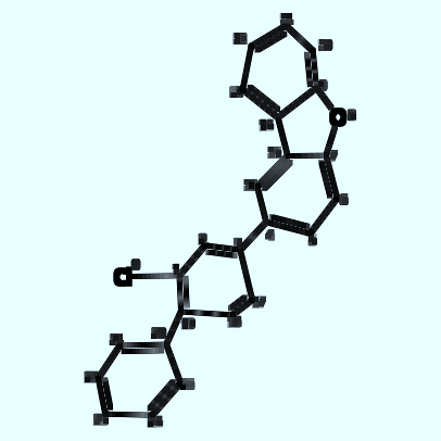 Clc1cc(-c2ccc3oc4ccccc4c3c2)ccc1-c1ccccc1